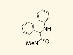 CNC(=O)C(Nc1ccccc1)c1ccccc1